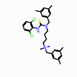 Cc1cc(C)cc(CN(CCCC[N+](C)(C)Cc2cc(C)cc(C)c2)C(=S)Nc2c(Cl)cccc2Cl)c1